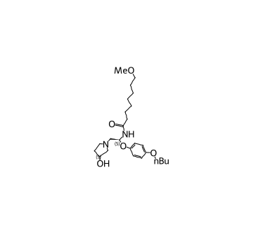 CCCCOc1ccc(O[C@@H](CN2CC[C@H](O)C2)NC(=O)CCCCCCCOC)cc1